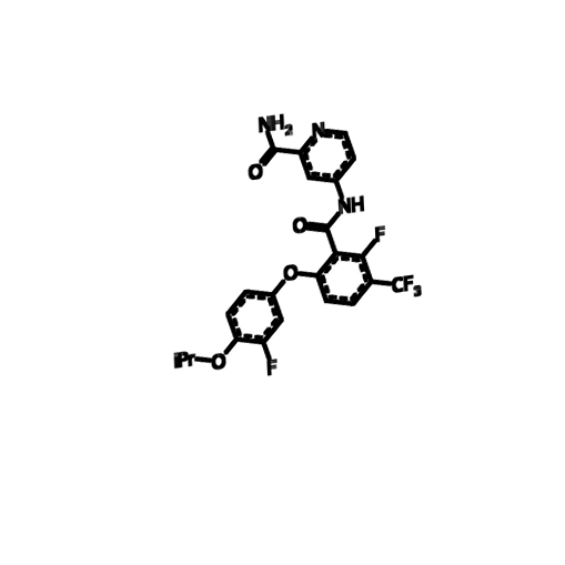 CC(C)Oc1ccc(Oc2ccc(C(F)(F)F)c(F)c2C(=O)Nc2ccnc(C(N)=O)c2)cc1F